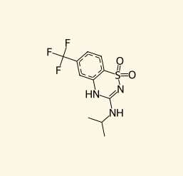 CC(C)NC1=NS(=O)(=O)c2ccc(C(F)(F)F)cc2N1